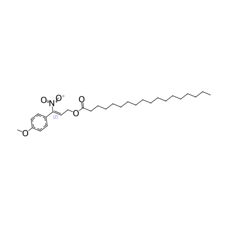 CCCCCCCCCCCCCCCCCC(=O)OC/C=C(/c1ccc(OC)cc1)[N+](=O)[O-]